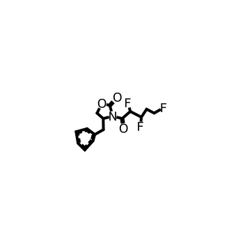 O=C1OCC(Cc2ccccc2)N1C(=O)C(F)C(F)CCF